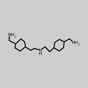 NCC1CCC(CCNCCC2CCC(CN)CC2)CC1